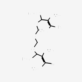 CCCCCC(OCOCOC(CCCCC)C(OC)=C(CCC)OC)C(OC)=C(CCC)OC